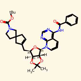 CC(C)(C)OC(=O)N1CCC2(CC=C(C[C@H]3O[C@@H](N4C=C=Cc5c(NC(=O)c6ccccc6)ncnc54)[C@@H]4OC(C)(C)O[C@H]43)C2)C1